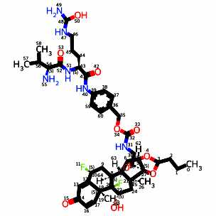 CCCC1O[C@@H]2C[C@H]3[C@@H]4C[C@H](F)C5=CC(=O)C=C[C@]5(C)[C@@]4(F)[C@@H](O)C[C@]3(C)[C@]2(C(=O)CNC(=O)OCc2ccc(NC(=O)[C@H](CCCNC(N)O)NC(=O)[C@@H](N)C(C)C)cc2)O1